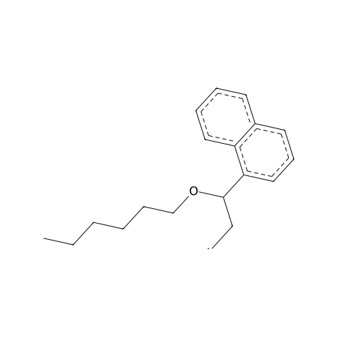 [CH2]CC(OCCCCCC)c1cccc2ccccc12